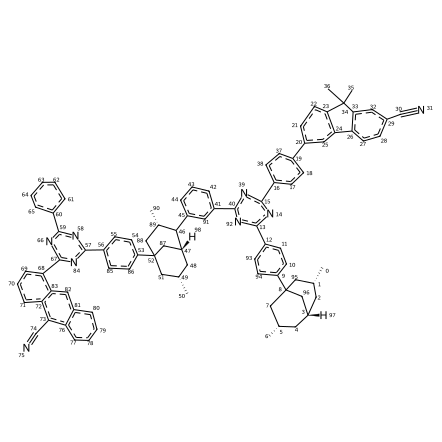 C[C@@H]1C[C@@H]2C[C@H](C)CC(c3ccc(-c4nc(-c5ccc(-c6ccc7c(c6)-c6ccc(C#N)cc6C7(C)C)cc5)nc(-c5cccc(C6[C@@H]7C[C@H](C)CC(c8ccc(-c9nc(-c%10ccccc%10)nc(-c%10cccc%11c(C#N)c%12ccccc%12cc%10%11)n9)cc8)(C7)C[C@@H]6C)c5)n4)cc3)(C1)C2